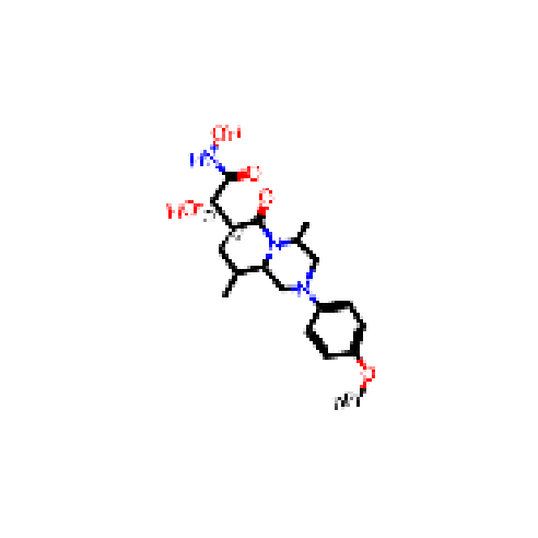 CCCOc1ccc(N2CC(C)N3C(=O)[C@H]([C@H](O)C(=O)NO)CC(C)C3C2)cc1